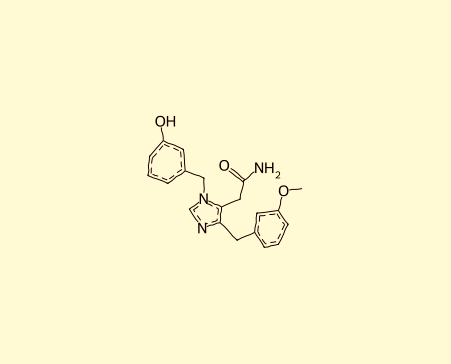 COc1cccc(Cc2ncn(Cc3cccc(O)c3)c2CC(N)=O)c1